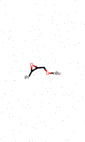 CCCCOCC1OC1C(C)C